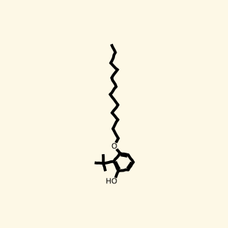 CCCCCCCCCCCCOc1cccc(O)c1C(C)(C)C